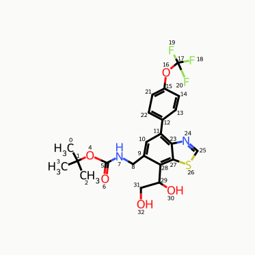 CC(C)(C)OC(=O)NCc1cc(-c2ccc(OC(F)(F)F)cc2)c2ncsc2c1C(O)CO